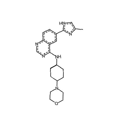 Cc1c[nH]c(-c2ccc3ncnc(NC4CCC(N5CCOCC5)CC4)c3c2)n1